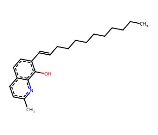 CCCCCCCCCCC=Cc1ccc2ccc(C)nc2c1O